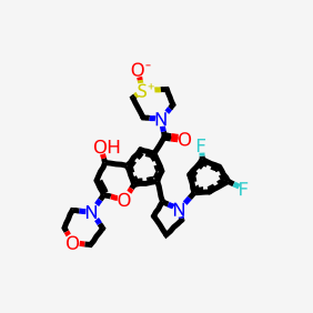 O=C(c1cc2c(c(C3CCCN3c3cc(F)cc(F)c3)c1)OC(N1CCOCC1)=CC2O)N1CC[S+]([O-])CC1